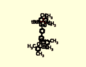 Cc1cc(C)c(OP(Oc2c(C)cc(C)cc2C(C)(C)C)c2ccc(-c3ccc(P(Oc4c(C)cc(C)cc4C(C)(C)C)Oc4c(C)cc(C)cc4C(C)(C)C)cc3)cc2)c(C(C)(C)C)c1